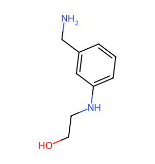 NCc1cccc(NCCO)c1